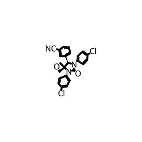 N#Cc1cccc([C@H]2N(c3ccc(Cl)cc3)C(=O)N(c3ccc(Cl)cc3)C23COC3)c1